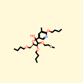 CCCCOC[C@H]1OC(O)(c2cnc(OCCCC)c(C)c2)C(OCCCC)[C@H]1OCCCC